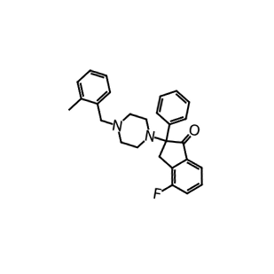 Cc1ccccc1CN1CCN(C2(c3ccccc3)Cc3c(F)cccc3C2=O)CC1